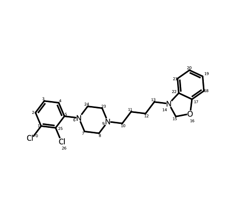 Clc1cccc(N2CCN(CCCCN3COc4ccccc43)CC2)c1Cl